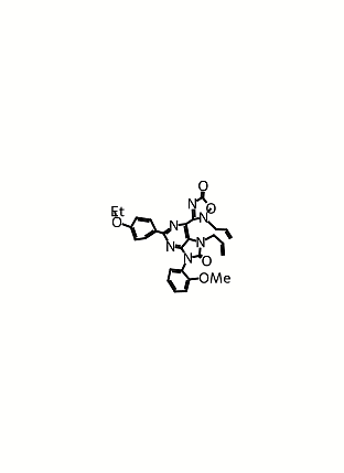 C=CCn1oc(=O)nc1-c1nc(-c2ccc(OCC)cc2)nc2c1n(CC=C)c(=O)n2-c1ccccc1OC